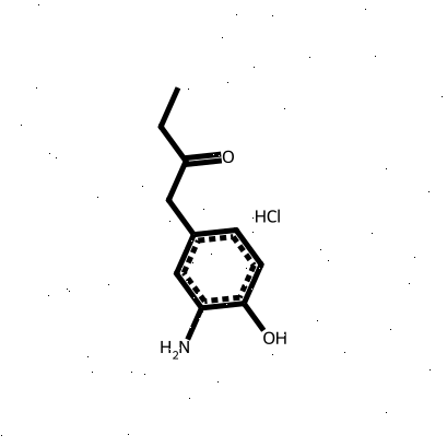 CCC(=O)Cc1ccc(O)c(N)c1.Cl